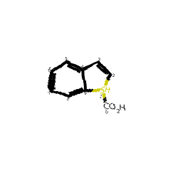 O=C(O)[SH]1C=Cc2ccccc21